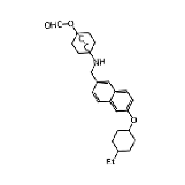 CCC1CCC(Oc2ccc3cc(CNC45CCC(OC=O)(CC4)CC5)ccc3c2)CC1